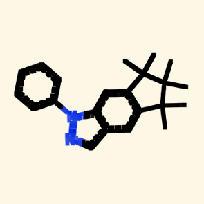 CC1(C)c2cc3cnn(-c4ccccc4)c3cc2C(C)(C)C1(C)C